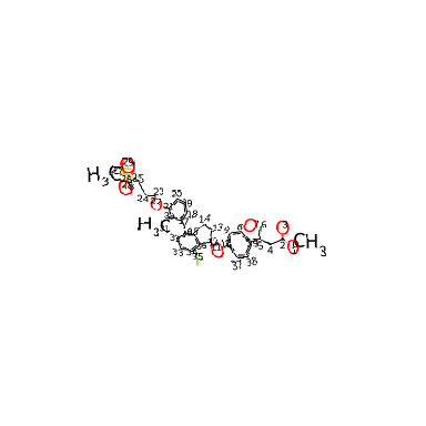 COC(=O)C[C@@H]1COc2cc(O[C@@H]3CCc4c(-c5cccc(OCCCS(C)(=O)=O)c5C)ccc(F)c43)ccc21